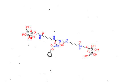 O=C(CCCCCNC(=O)CN(CC(=O)NCCCCCC(=O)NCCO[C@H]1O[C@H](CO)[C@@H](O)[C@H](O)[C@@H]1O)C(=O)CNC(=O)OCc1ccccc1)NCCO[C@H]1O[C@H](CO)[C@@H](O)[C@H](O)[C@@H]1O